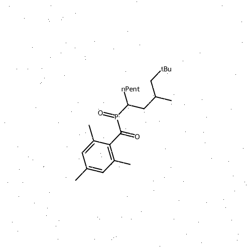 CCCCCC(CC(C)CC(C)(C)C)[P](=O)C(=O)c1c(C)cc(C)cc1C